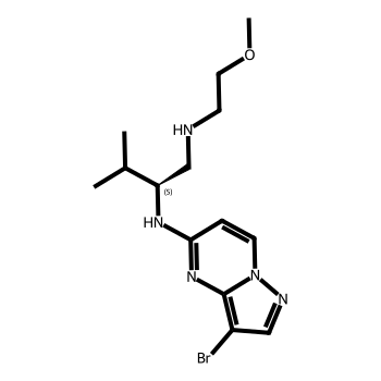 COCCNC[C@@H](Nc1ccn2ncc(Br)c2n1)C(C)C